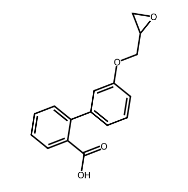 O=C(O)c1ccccc1-c1cccc(OCC2CO2)c1